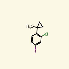 CC1(c2ccc(I)cc2Cl)CC1